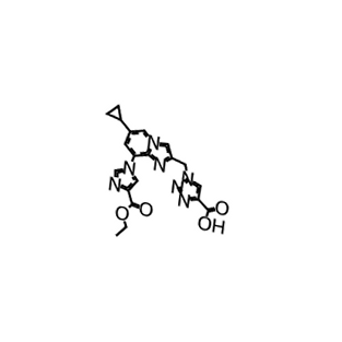 CCOC(=O)c1cn(-c2cc(C3CC3)cn3cc(Cn4cc(C(=O)O)nn4)nc23)cn1